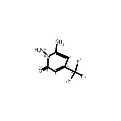 Nc1cc(C(F)(F)F)cc(=O)n1N